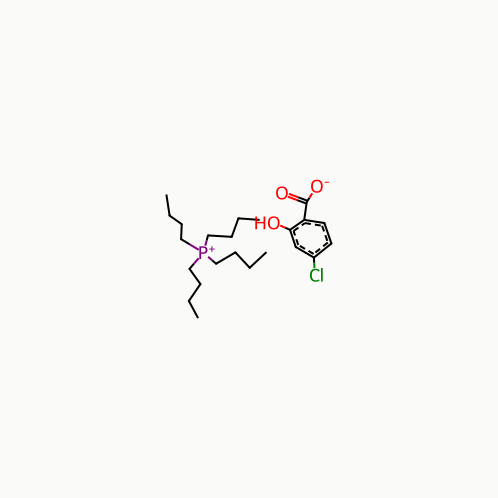 CCCC[P+](CCCC)(CCCC)CCCC.O=C([O-])c1ccc(Cl)cc1O